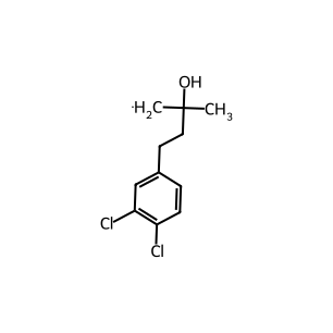 [CH2]C(C)(O)CCc1ccc(Cl)c(Cl)c1